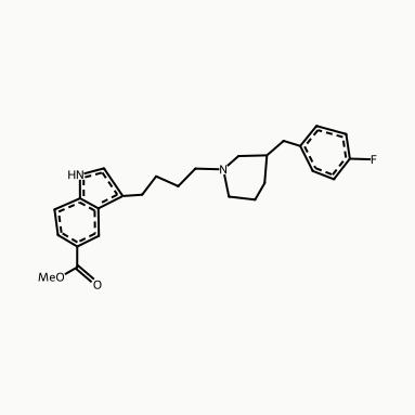 COC(=O)c1ccc2[nH]cc(CCCCN3CCCC(Cc4ccc(F)cc4)C3)c2c1